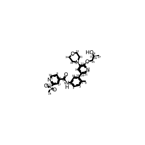 Cc1ccc(NC(=O)c2ccnc(S(C)(=O)=O)c2)cc1-c1cnc(OC[C@H](C)O)c(N2CCOCC2)c1